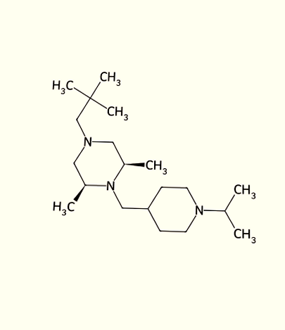 CC(C)N1CCC(CN2[C@H](C)CN(CC(C)(C)C)C[C@@H]2C)CC1